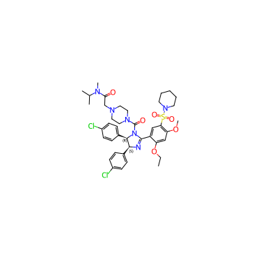 CCOc1cc(OC)c(S(=O)(=O)N2CCCCC2)cc1C1=N[C@@H](c2ccc(Cl)cc2)[C@@H](c2ccc(Cl)cc2)N1C(=O)N1CCN(CC(=O)N(C)C(C)C)CC1